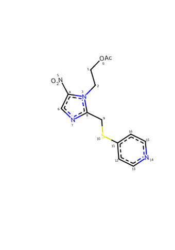 CC(=O)OCCn1c([N+](=O)[O-])cnc1CSc1ccncc1